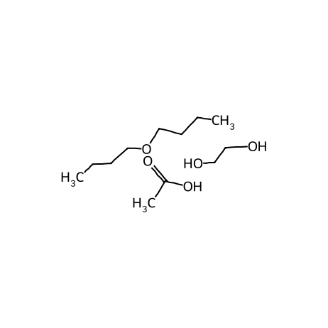 CC(=O)O.CCCCOCCCC.OCCO